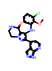 COc1c(Cl)cccc1Nc1c(-c2ccnc3[nH]ncc23)nn2c1C(=O)NCC2